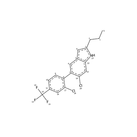 CCCc1cc2cc(-c3ccc(C(F)(F)F)cc3Cl)c(Cl)cc2[nH]1